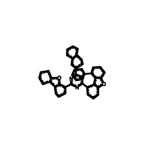 c1ccc(-c2cccc3oc4cccc(-c5nc(-c6ccc7ccccc7c6)nc(-c6cccc7c6oc6ccccc67)n5)c4c23)cc1